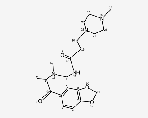 CC(C(=O)c1ccc2c(c1)OCO2)N(C)CNC(=O)CCN1CCN(C)CC1